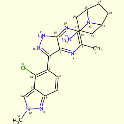 Cc1nc2c(-c3ccc4nn(C)cc4c3Cl)n[nH]c2nc1N1C2CCC1CC(N)C2